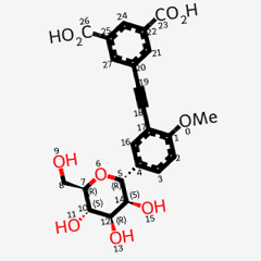 COc1ccc([C@H]2O[C@H](CO)[C@@H](O)[C@H](O)[C@@H]2O)cc1C#Cc1cc(C(=O)O)cc(C(=O)O)c1